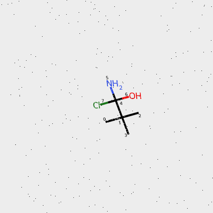 CC(C)(C)C(N)(O)Cl